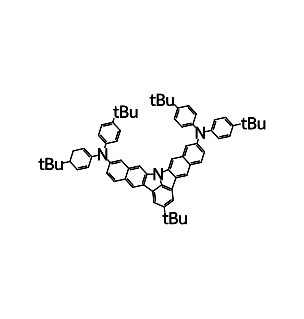 CC(C)(C)c1ccc(N(C2=CCC(C(C)(C)C)C=C2)c2ccc3cc4c5cc(C(C)(C)C)cc6c7cc8ccc(N(c9ccc(C(C)(C)C)cc9)c9ccc(C(C)(C)C)cc9)cc8cc7n(c4cc3c2)c56)cc1